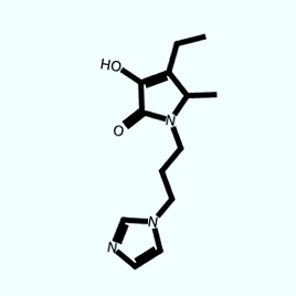 CCC1=C(O)C(=O)N(CCCn2ccnc2)C1C